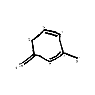 [CH2]C1=CC(=S)CC=C1